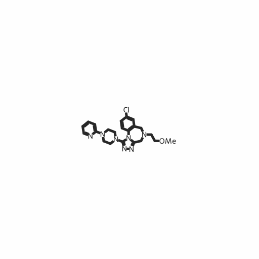 COCCN1Cc2cc(Cl)ccc2-n2c(nnc2N2CCN(c3ccccn3)CC2)C1